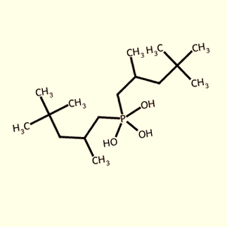 CC(CC(C)(C)C)CP(O)(O)(O)CC(C)CC(C)(C)C